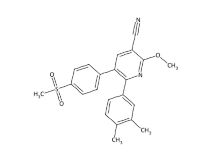 COc1nc(-c2ccc(C)c(C)c2)c(-c2ccc(S(C)(=O)=O)cc2)cc1C#N